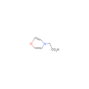 O=C(O)CN1C=COC=C1